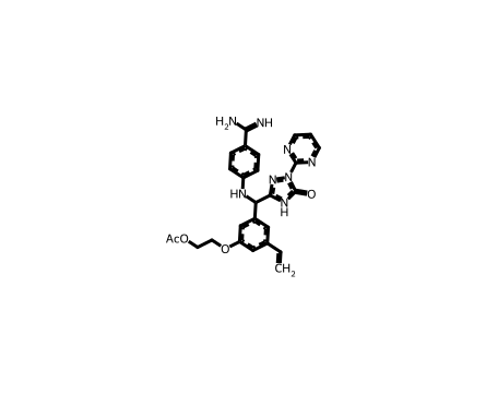 C=Cc1cc(OCCOC(C)=O)cc(C(Nc2ccc(C(=N)N)cc2)c2nn(-c3ncccn3)c(=O)[nH]2)c1